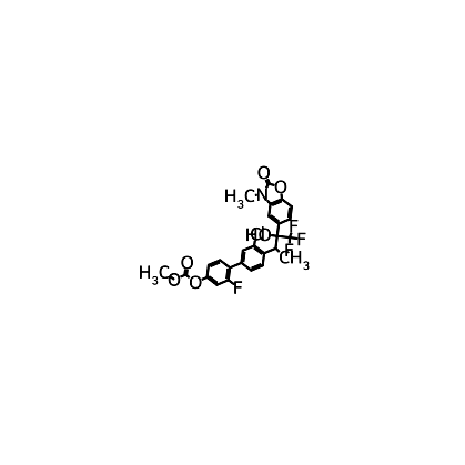 COC(=O)Oc1ccc(-c2ccc(C(C)C(O)(c3ccc4oc(=O)n(C)c4c3)C(F)(F)F)c(Cl)c2)c(F)c1